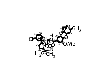 COc1cc(C(=O)N[C@H](C)C(=O)N2[C@H](C3(C)C=C(Cl)C=CC3)CC[C@@H]2C(C)(C)C#N)ccc1Oc1cc(C)n[nH]c1=O